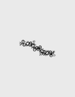 C=C(C)C(=O)Oc1ccc(Oc2c(C)cc(C(=O)OOC(=O)c3cc(C)c(Oc4ccc(OC(=O)C(=C)C)cc4)c(C)c3)cc2C)cc1